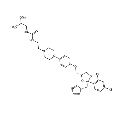 COC(C)CNC(=S)NCCN1CCN(c2ccc(OC[C@@H]3CO[C@@](Cn4ccnc4)(c4ccc(Cl)cc4Cl)O3)cc2)CC1